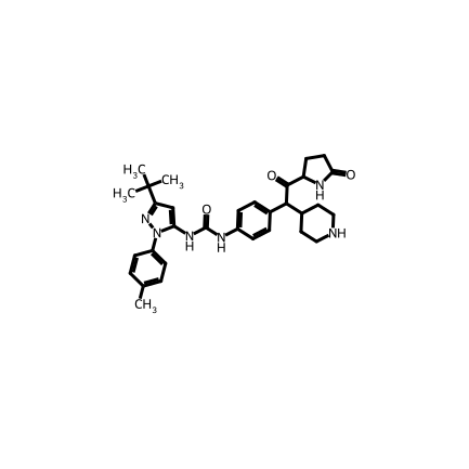 Cc1ccc(-n2nc(C(C)(C)C)cc2NC(=O)Nc2ccc(C(C(=O)C3CCC(=O)N3)C3CCNCC3)cc2)cc1